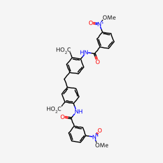 CO[N+](=O)c1cccc(C(=O)Nc2ccc(Cc3ccc(NC(=O)c4cccc([N+](=O)OC)c4)c(C(=O)O)c3)cc2C(=O)O)c1